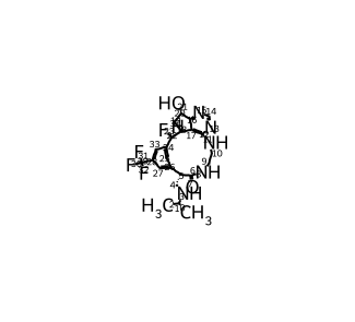 CC(C)NC[C@H]1C(=O)NCCNc2ncnc3c2[C@@H](C[C@@H]3O)C(F)c2cc1cc(C(F)(F)F)c2